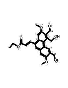 CCOC(=O)/C=C/c1cc2cc(OC)c(CO)cc2c2c(CO)c(CO)c(OC)cc12